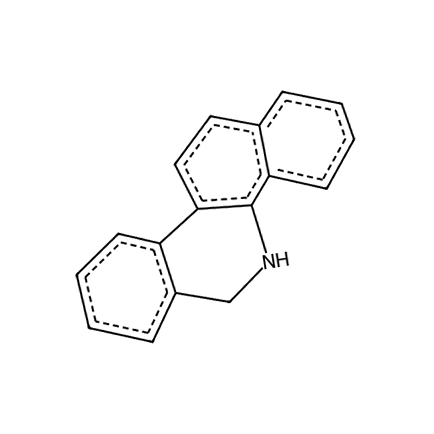 c1ccc2c(c1)CNc1c-2ccc2ccccc12